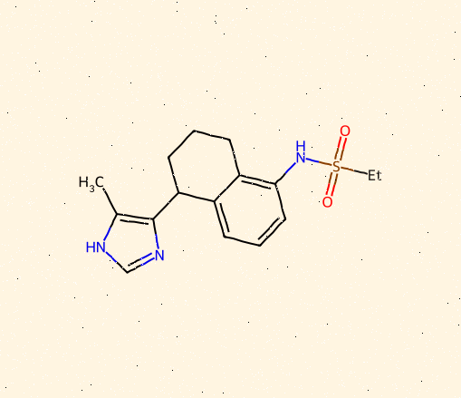 CCS(=O)(=O)Nc1cccc2c1CCCC2c1nc[nH]c1C